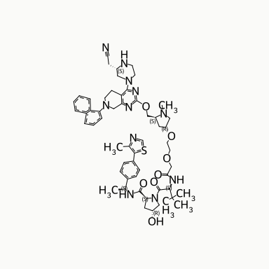 Cc1ncsc1-c1ccc([C@H](C)NC(=O)[C@@H]2C[C@@H](O)CN2C(=O)[C@@H](NC(=O)COCCO[C@@H]2C[C@@H](COc3nc4c(c(N5CCN[C@@H](CC#N)C5)n3)CCN(c3cccc5ccccc35)C4)N(C)C2)C(C)(C)C)cc1